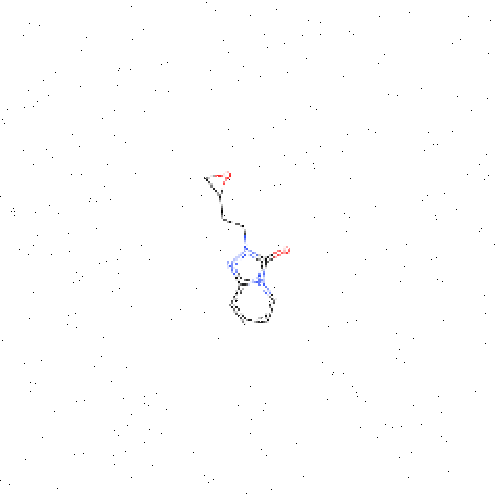 O=c1n(CCC2CO2)nc2ccccn12